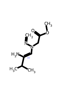 C=NN(/C=C(\N)C(C)C)CC(=O)OC